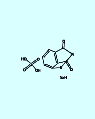 O=C1c2cccc3sn1c(=O)c23.O=S(=O)(O)O.[NaH]